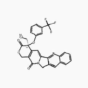 CC[C@@]1(Oc2cccc(C(F)(F)F)c2)C(=O)OCc2c1cc1n(c2=O)Cc2cc3ccccc3nc2-1